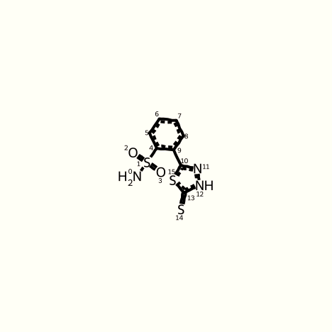 NS(=O)(=O)c1ccccc1-c1n[nH]c(=S)s1